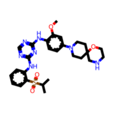 COc1cc(N2CCC3(CC2)CNCCO3)ccc1Nc1ncnc(Nc2ccccc2S(=O)(=O)C(C)C)n1